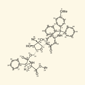 COc1ccc(C(Nc2ccn([C@@H]3O[C@H](CO[P@](=O)(NC(C)C(=O)OC(C)C)Oc4ccccc4)[C@@H](O)[C@@]3(C)C#N)c(=O)n2)(c2ccccc2)c2ccccc2)cc1